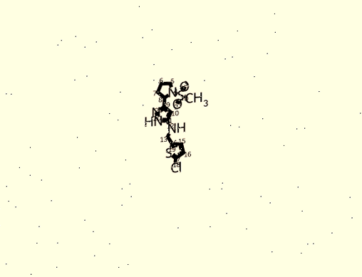 CS(=O)(=O)N1CCCC1c1cc(NCc2ccc(Cl)s2)[nH]n1